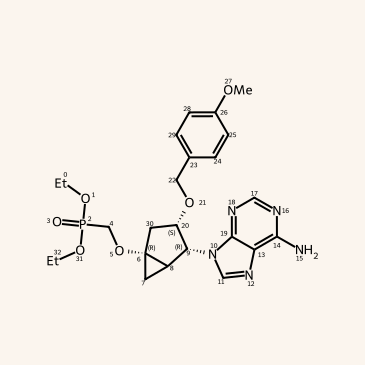 CCOP(=O)(CO[C@@]12CC1[C@@H](n1cnc3c(N)ncnc31)[C@@H](OCc1ccc(OC)cc1)C2)OCC